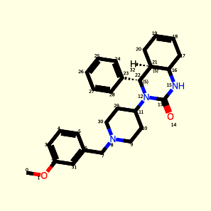 COc1cccc(CN2CCC(N3C(=O)NC4CC=CC[C@@H]4[C@H]3c3ccccc3)CC2)c1